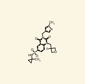 Cn1cc(Cn2c(=O)c3cc(S(=O)(=O)NC4(C)CC4)ccc3n(CC3(F)COC3)c2=O)cn1